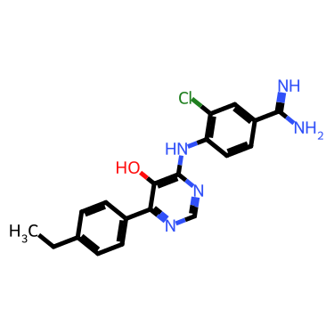 CCc1ccc(-c2ncnc(Nc3ccc(C(=N)N)cc3Cl)c2O)cc1